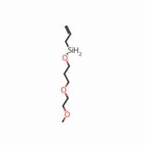 C=CC[SiH2]OCCCOCCOC